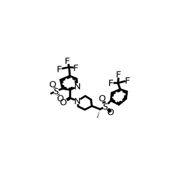 C[C@H](C1CCN(C(=O)c2ncc(C(F)(F)F)cc2S(C)(=O)=O)CC1)S(=O)(=O)c1cccc(C(F)(F)F)c1